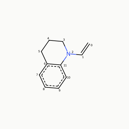 C=CN1CCCc2ccccc21